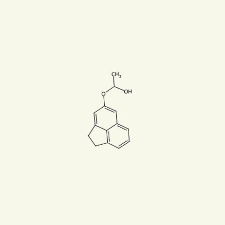 CC(O)Oc1cc2c3c(cccc3c1)CC2